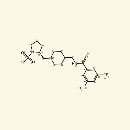 CCS(=O)(=O)N1CCC[C@H]1CN1CCC(CNC(=O)c2cc(C)cc(C(F)(F)F)c2)CC1